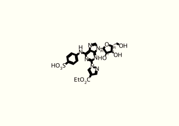 CCOC(=O)c1cnn(-c2nc(Nc3ccc(S(=O)(=O)O)cc3)c3ncn([C@@H]4O[C@H](CO)[C@@H](O)[C@H]4O)c3n2)c1